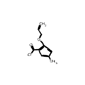 C=CCOc1ccc(C)cc1C(=O)Cl